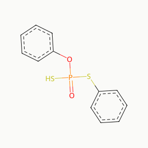 O=P(S)(Oc1ccccc1)Sc1ccccc1